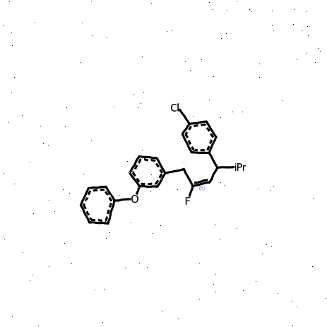 CC(C)C(/C=C(/F)Cc1cccc(Oc2ccccc2)c1)c1ccc(Cl)cc1